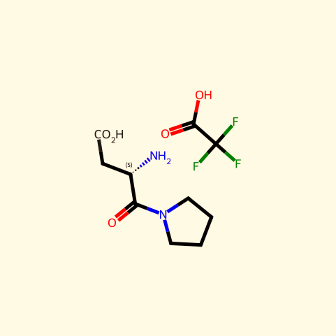 N[C@@H](CC(=O)O)C(=O)N1CCCC1.O=C(O)C(F)(F)F